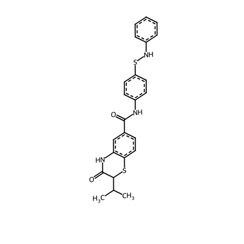 CC(C)C1Sc2ccc(C(=O)Nc3ccc(SNc4ccccc4)cc3)cc2NC1=O